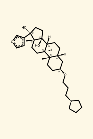 C[C@]12CC[C@H](OCCCN3CCCC3)C[C@H]1CC[C@@H]1[C@@H]2CC[C@]2(C)[C@@](O)(c3ccoc3)CC[C@]12O